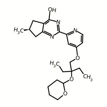 CCC(CC)(COc1ccnc(-c2nc(O)c3c(n2)C[C@@H](C)C3)c1)OC1CCCCO1